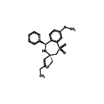 CCC=C[C@]1(CC)CS(=O)(=O)c2cc(OC)ccc2[C@H](c2ccccc2)N1